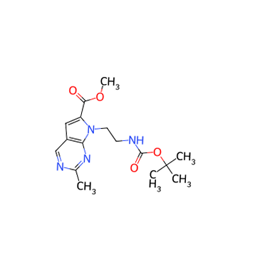 COC(=O)c1cc2cnc(C)nc2n1CCNC(=O)OC(C)(C)C